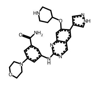 NC(=O)c1cc(Nc2ncc3cc(-c4cn[nH]c4)c(OC4CCNCC4)cc3n2)cc(N2CCOCC2)c1